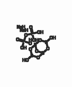 O=P(O)(O)OP(=O)(O)O.OB1OB2OB(O)OB(O1)O2.[NaH].[NaH]